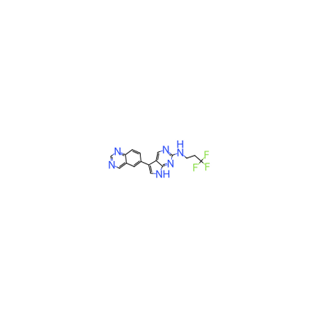 FC(F)(F)CCNc1ncc2c(-c3ccc4ncncc4c3)c[nH]c2n1